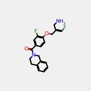 NC/C(=C\F)COc1ccc(C(=O)N2CCc3ccccc3C2)cc1F